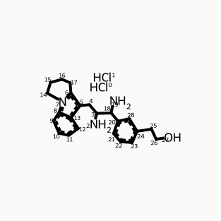 Cl.Cl.NC(Cc1c2n(c3ccccc13)CCCC2)C(N)c1cccc(CCO)c1